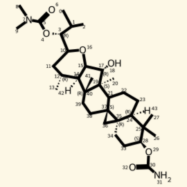 CC(C)[C@@H](OC(=O)N(C)C)C1C[C@@H](C)[C@H]2C(O1)[C@H](O)[C@@]1(C)C3CC[C@H]4C(C)(C)[C@@H](OC(N)=O)CC[C@@]45C[C@@]35CC[C@]21C